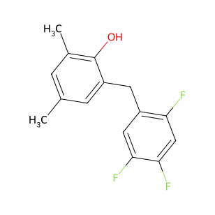 Cc1cc(C)c(O)c(Cc2cc(F)c(F)cc2F)c1